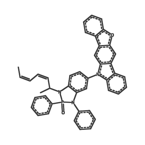 C/C=C\C=C/C(C)N1c2ccc(-n3c4ccccc4c4cc5oc6ccccc6c5cc43)cc2N(c2ccccc2)P1(=O)c1ccccc1